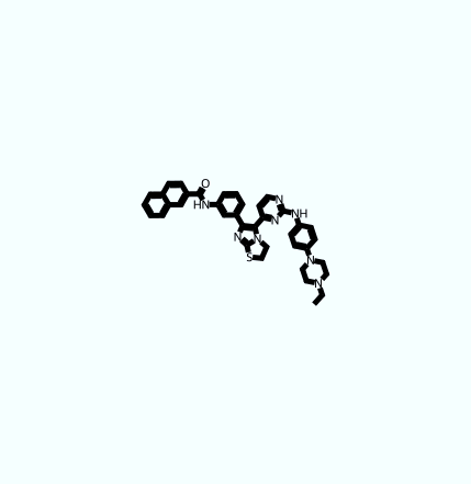 CCN1CCN(c2ccc(Nc3nccc(-c4c(-c5cccc(NC(=O)c6ccc7ccccc7c6)c5)nc5n4CCS5)n3)cc2)CC1